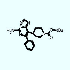 CC(C)(C)OC(=O)N1CCC(c2c(-c3ccccc3)nc(N)n3ncnc23)CC1